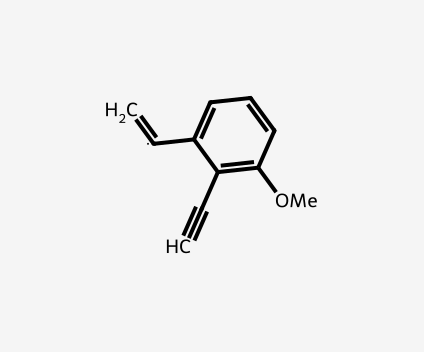 C#Cc1c([C]=C)cccc1OC